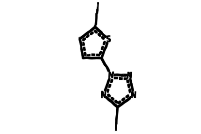 Ic1nnn(-c2ccc(I)s2)n1